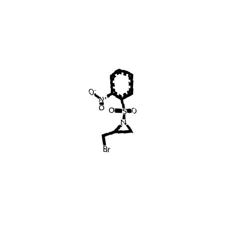 O=[N+]([O-])c1ccccc1S(=O)(=O)N1CC1CBr